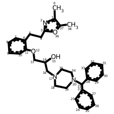 Cc1nc(CCc2ccccc2OCC(O)CN2CCN(C(c3ccccc3)c3ccccc3)CC2)oc1C